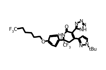 CC(C)(C)n1ccc(C2=C(c3nnn[nH]3)C(=O)N[C@@](c3ccc(OCCCCCC(F)(F)F)cc3)(C(F)(F)F)C2)n1